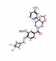 COc1cc(C(=O)N2CC[C@]3(c4cc(C(F)(F)F)ccn4)OCOC3C2)ccc1OCC1CC(F)(F)C1